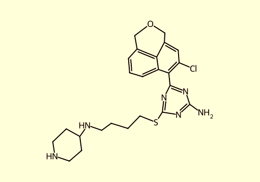 Nc1nc(SCCCCNC2CCNCC2)nc(-c2c(Cl)cc3c4c(cccc24)COC3)n1